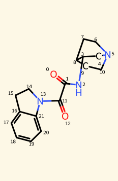 O=C(NC1CN2CCC1CC2)C(=O)N1CCc2ccccc21